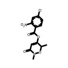 CC1ON(C)C(=O)C=C1OC(=O)c1ccc(Cl)cc1[N+](=O)[O-]